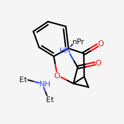 CCCNC(=O)C12CC1C(=O)c1ccccc1O2.CCNCC